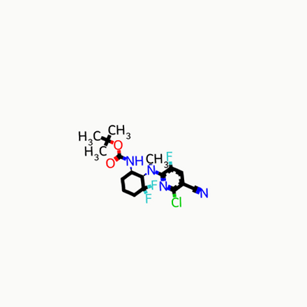 CN(c1nc(Cl)c(C#N)cc1F)[C@H]1[C@@H](NC(=O)OC(C)(C)C)CCCC1(F)F